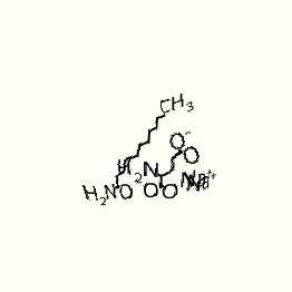 CCCCCCCCCCCC(N)=O.NC(CCC(=O)[O-])C(=O)[O-].[Na+].[Na+]